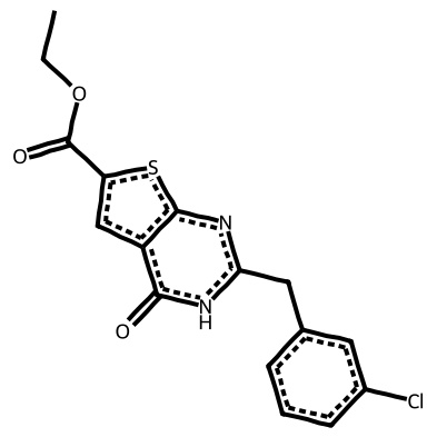 CCOC(=O)c1cc2c(=O)[nH]c(Cc3cccc(Cl)c3)nc2s1